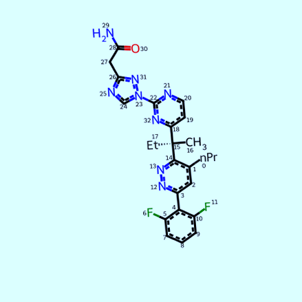 CCCc1cc(-c2c(F)cccc2F)nnc1[C@@](C)(CC)c1ccnc(-n2cnc(CC(N)=O)n2)n1